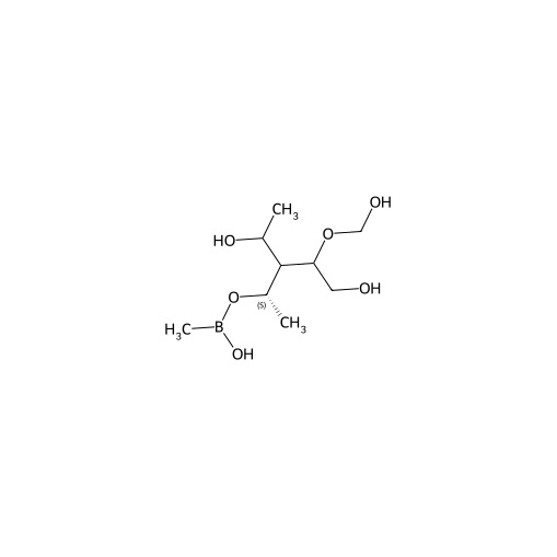 CB(O)O[C@@H](C)C(C(C)O)C(CO)OCO